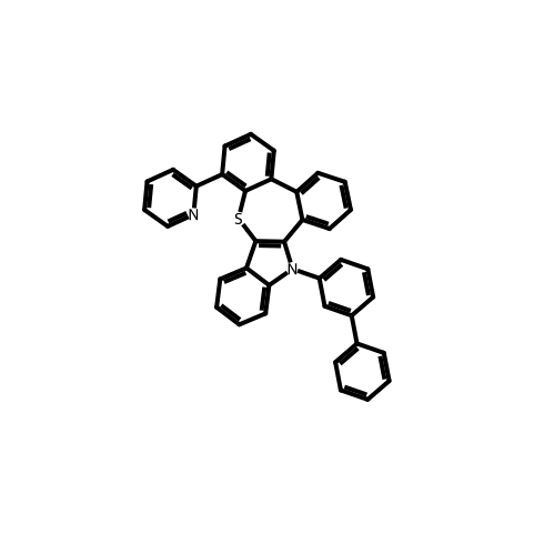 c1ccc(-c2cccc(-n3c4c(c5ccccc53)Sc3c(-c5ccccn5)cccc3-c3ccccc3-4)c2)cc1